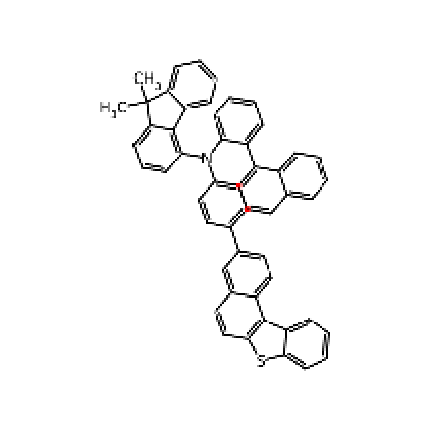 CC1(C)c2ccccc2-c2c(N(c3ccc(-c4ccc5c(ccc6sc7ccccc7c65)c4)cc3)c3ccccc3-c3cccc4ccccc34)cccc21